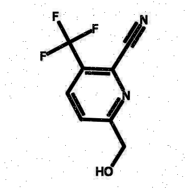 N#Cc1nc(CO)ccc1C(F)(F)F